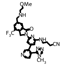 COCCNCc1cc2c(c(C(F)(F)F)c1)CN(c1cc(-c3cnccc3-c3nncn3C)cc(NCCCC#N)n1)C2=O